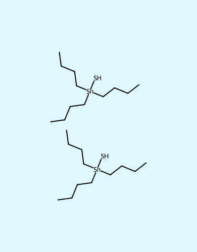 CCC[CH2][Sn]([SH])([CH2]CCC)[CH2]CCC.CCC[CH2][Sn]([SH])([CH2]CCC)[CH2]CCC